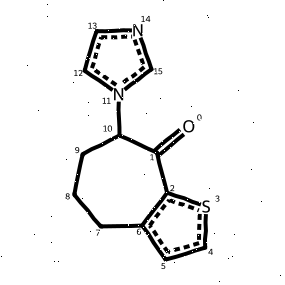 O=C1c2sccc2CCCC1n1ccnc1